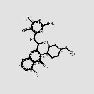 CC(Nc1nc(N)nc(N)c1Cl)c1nc2cccc(Cl)c2c(=O)n1C1CCN(CC(F)(F)F)CC1